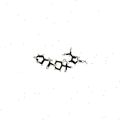 Cn1cc([S+]([O-])C(F)(F)C2CCN(C(=O)Nc3ccnnc3)CC2)c(C(F)F)n1